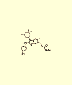 COC(=O)CCc1cc2nc(Nc3ccc(C(C)C)cc3)n([C@H]3C[C@@H](C)CC(C)(C)C3)c2cc1C